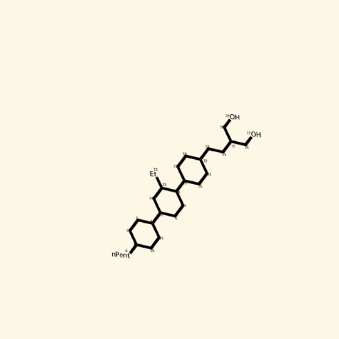 CCCCCC1CCC(C2CCC(C3CCC(CCC(CO)CO)CC3)C(CC)C2)CC1